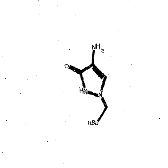 CCCCCn1cc(N)c(=O)[nH]1